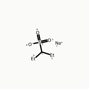 CCC(CC)S(=O)(=O)[O-].[Na+]